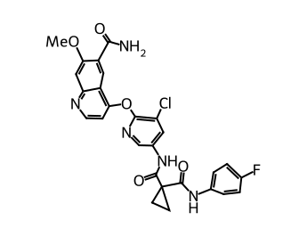 COc1cc2nccc(Oc3ncc(NC(=O)C4(C(=O)Nc5ccc(F)cc5)CC4)cc3Cl)c2cc1C(N)=O